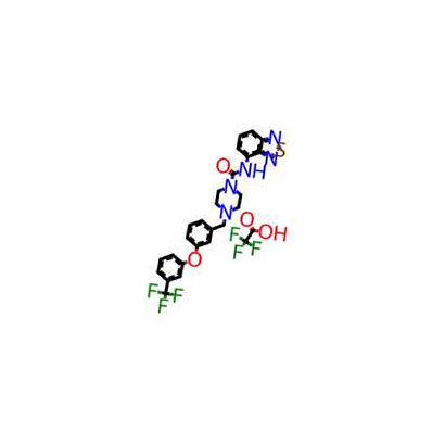 O=C(Nc1cccc2nsnc12)N1CCN(Cc2cccc(Oc3cccc(C(F)(F)F)c3)c2)CC1.O=C(O)C(F)(F)F